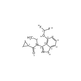 CCN(C(=O)C1CC1)c1nsc2cccc(OC(F)F)c12